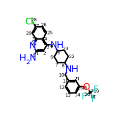 Nc1cc(NC2CCC(NCc3cccc(OC(F)(F)F)c3)CC2)c2ccc(Cl)cc2n1